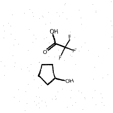 O=C(O)C(F)(F)F.OC1CCCC1